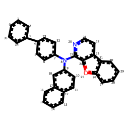 c1ccc(-c2ccc(N(c3ccc4ccccc4c3)c3nccc4c3oc3ccccc34)cc2)cc1